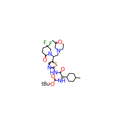 CC1CCC([C@H](NC(=O)OC(C)(C)C)C(=O)Nc2ncc(C(CN3CCO[C@H](C)C3)N3CC(F)(F)CCC3=O)s2)CC1